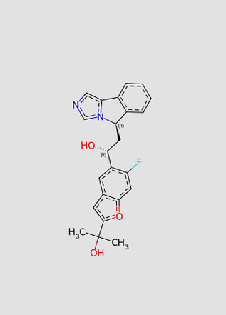 CC(C)(O)c1cc2cc([C@H](O)C[C@@H]3c4ccccc4-c4cncn43)c(F)cc2o1